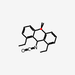 CCc1cccc(CC)c1C(N=C=O)c1c(CC)cccc1CC